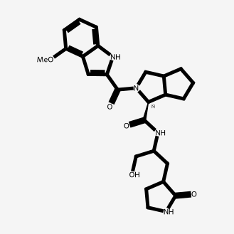 COc1cccc2[nH]c(C(=O)N3CC4CCCC4[C@H]3C(=O)NC(CO)CC3CCNC3=O)cc12